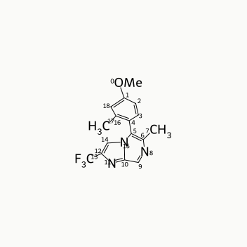 COc1ccc(-c2c(C)ncc3nc(C(F)(F)F)cn23)c(C)c1